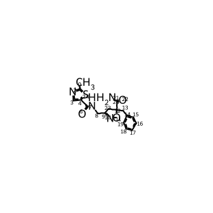 Cc1ncc(C(=O)NCC2=NOC(Cc3ccccc3)(C(N)=O)C2)s1